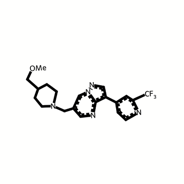 COCC1CCN(Cc2cnc3c(-c4ccnc(C(F)(F)F)c4)cnn3c2)CC1